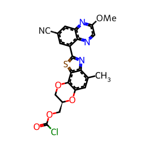 COc1cnc2c(-c3nc4c(C)cc5c(c4s3)OC[C@H](COC(=O)Cl)O5)cc(C#N)cc2n1